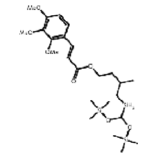 COc1ccc(C=CC(=O)OCCC(C)C[SiH2]C(O[Si](C)(C)C)O[Si](C)(C)C)c(OC)c1OC